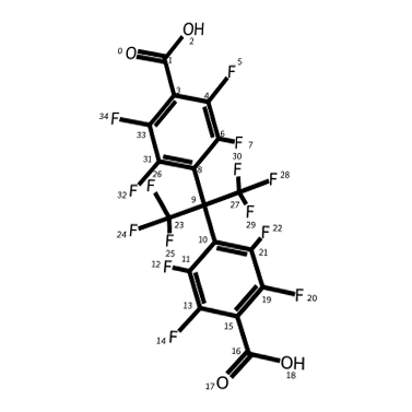 O=C(O)c1c(F)c(F)c(C(c2c(F)c(F)c(C(=O)O)c(F)c2F)(C(F)(F)F)C(F)(F)F)c(F)c1F